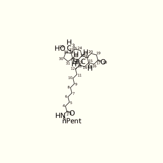 CCCCCNC(=O)CCCCCCCCC[C@@H]1C[C@H]2CC(=O)CC[C@]2(C)[C@H]2CC[C@]3(C)[C@@H](O)CC[C@H]3[C@H]12